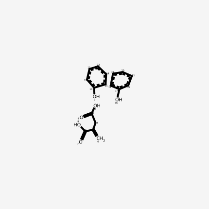 C=C(CC(=O)O)C(=O)O.Oc1ccccc1.Oc1ccccc1